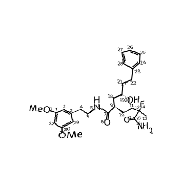 COc1cc(CCNC(=O)[C@H](CCC(C)(F)C(N)=O)C[C@@H](O)[CH]Cc2ccccc2)cc(OC)c1